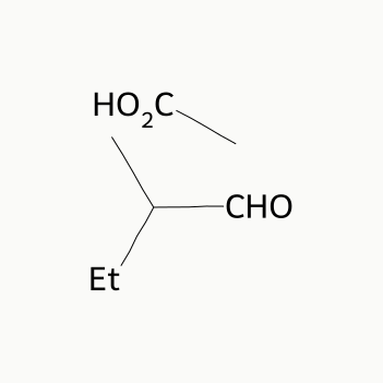 CC(=O)O.CCC(C)C=O